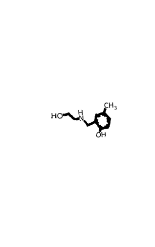 Cc1ccc(O)c(CNCCO)c1